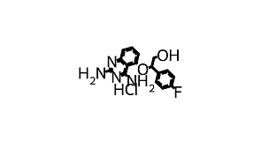 Cl.Nc1nc(N)c2c(OC(CO)c3ccc(F)cc3)cccc2n1